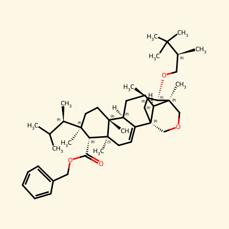 CC(C)[C@@H](C)[C@@]1(C)CC[C@]2(C)[C@H]3CC[C@@H]4[C@@]5(COC[C@]4(C)[C@@H](OC[C@H](C)C(C)(C)C)[C@H](C)C5)C3=CC[C@@]2(C)[C@@H]1C(=O)OCc1ccccc1